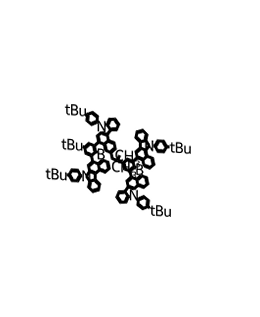 CC(C)(C)c1ccc(-n2c3ccccc3c3c4cccc5c4c(cc32)-c2cc(C(C)(C)C)cc3c2B5c2c(CC(C)(C)c4cc5c6c(c4)-c4cc7c8ccccc8n(-c8ccc(C(C)(C)C)cc8)c7c7cccc(c47)B6c4cccc6c4c-5cc4c5ccccc5n(-c5ccc(C(C)(C)C)cc5)c64)ccc4c2c-3cc2c4c3ccccc3n2-c2ccc(C(C)(C)C)cc2)cc1